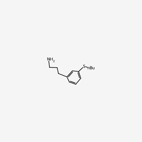 CCCCSc1cccc(CCCN)c1